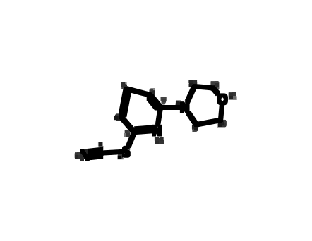 N#CSc1cccc(N2CCOCC2)n1